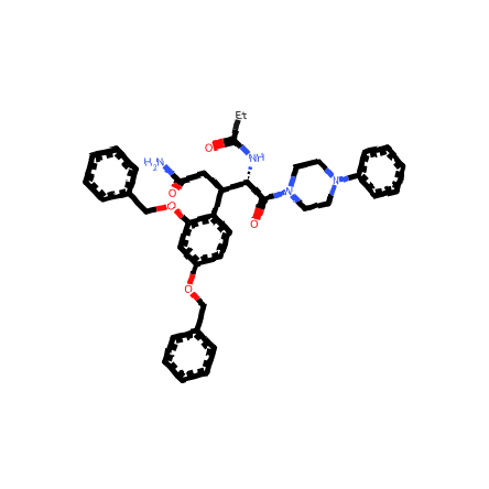 CCC(=O)N[C@H](C(=O)N1CCN(c2ccccc2)CC1)C(CC(N)=O)c1ccc(OCc2ccccc2)cc1OCc1ccccc1